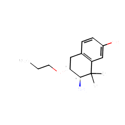 CCC1(CC)c2cc(O)ccc2C[C@@H](OCCOC)[C@@H]1N